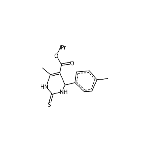 CC1=C(C(=O)OC(C)C)C(c2ccc(C)cc2)NC(=S)N1